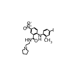 Cc1cc(I)ccc1Nc1ccc([N+](=O)[O-])cc1C(=O)NCCN1CCCC1